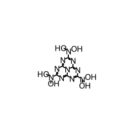 ON(O)C1=NC2=NC(N(O)O)=NC3=NC(N(O)O)=NC(=N1)N23